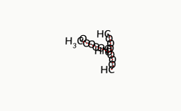 C#CCOCCOCCOCC(COCCOCCOCC#C)OC(=O)NCCOCCOCCOCCOCCC(C)=O